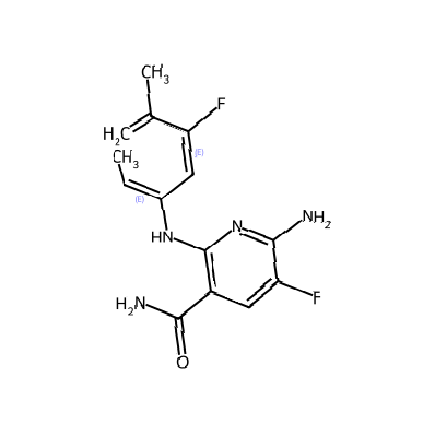 C=C(C)/C(F)=C\C(=C/C)Nc1nc(N)c(F)cc1C(N)=O